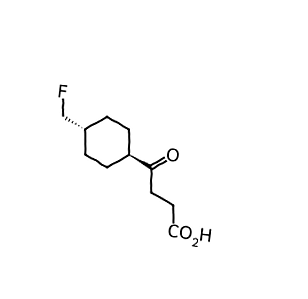 O=C(O)CCC(=O)[C@H]1CC[C@H](CF)CC1